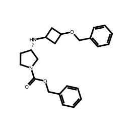 O=C(OCc1ccccc1)N1CC[C@H](NC2CC(OCc3ccccc3)C2)C1